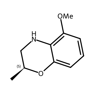 COc1cccc2c1NC[C@H](C)O2